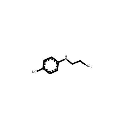 N#Cc1ccc(NCC[N+](=O)[O-])cc1